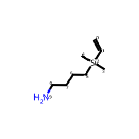 C=C[Si](C)(C)CCCCN